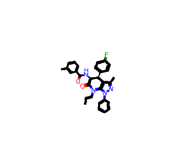 CCCN1C(=O)[C@@H](NC(=O)c2cccc(C)c2)[C@@H](c2ccc(F)cc2)c2c(C)nn(-c3ccccc3)c21